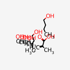 C=C(C)C(=O)O.CCCCO.CCCCO.CO.CO.CO.CO